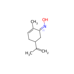 C=C(C)C1CC=C(C)/C(=N\O)C1